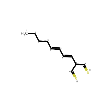 CCCCC=CC=CC(C=S)C=S